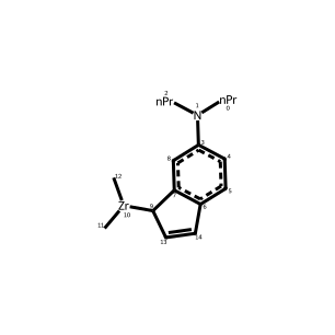 CCCN(CCC)c1ccc2c(c1)[CH]([Zr]([CH3])[CH3])C=C2